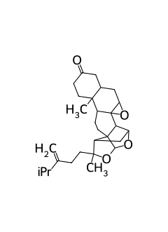 C=C(CCC1(C)OC2OC3CC1C21CCC2C4(C)CCC(=O)CC4CC4OC42C31)C(C)C